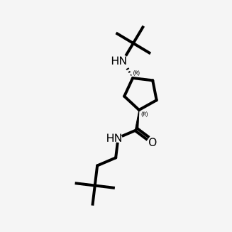 CC(C)(C)CCNC(=O)[C@@H]1CC[C@@H](NC(C)(C)C)C1